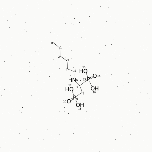 CCCCCCNC(CP(=O)(O)O)P(=O)(O)O